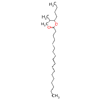 CCCCCCCCCCCCCCCCCC(=O)OC(CCCC)C(C)C